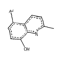 CC(=O)c1ccc(O)c2nc(C)ccc12